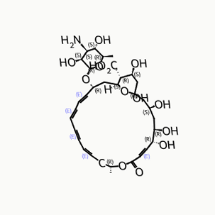 C[C@@H]1C/C=C/C=C/C=C/C=C/[C@H](O[C@@H]2O[C@H](C)[C@@H](O)[C@H](N)[C@@H]2O)C[C@@H]2O[C@](O)(C[C@@H](O)C[C@@H](O)[C@H](O)/C=C/C(=O)O1)C[C@H](O)[C@H]2C(=O)O